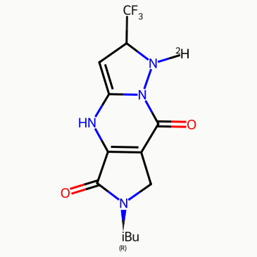 [2H]N1C(C(F)(F)F)C=C2NC3=C(CN([C@H](C)CC)C3=O)C(=O)N21